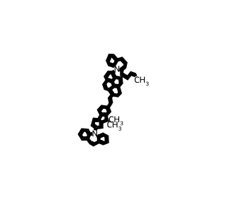 C/C=C\C=C/C1=CC=Cc2ccccc2N1c1ccc2ccc3c4c(ccc1c24)CCC=3/C=C/c1ccc2c(c1)C(C)(C)c1cc(N3c4ccccc4C=Cc4ccccc43)ccc1-2